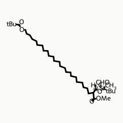 COC(=O)C(CCCCCCCCCCCCCCCCCCCCCCCCOC(=O)C(C)(C)C)[C@@H](CC=O)O[Si](C)(C)C(C)(C)C